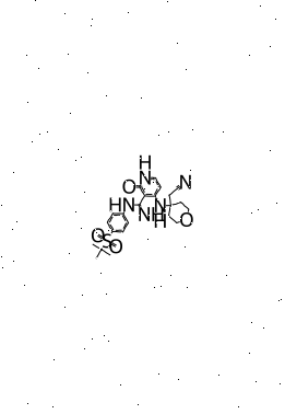 CC(C)(C)S(=O)(=O)c1ccc(NC(=N)c2c(NC3(CC#N)CCOCC3)cc[nH]c2=O)cc1